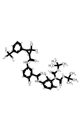 CC(C)(C)OC(=O)N(C(=O)OC(C)(C)C)c1c(F)ccc(NC(=O)c2cc(NC(=O)C3C(c4cccc(C(F)(F)F)c4)C3(Cl)Cl)ccc2Cl)c1F